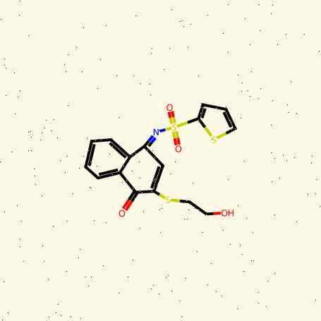 O=C1C(SCCO)=CC(=NS(=O)(=O)c2cccs2)c2ccccc21